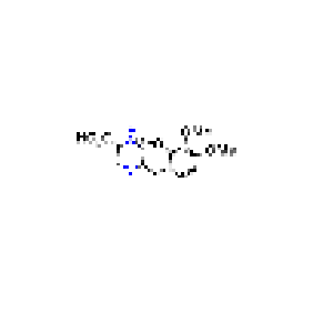 COc1ccc(CC2CNC(C(=O)O)CN2)c(OC)c1OC